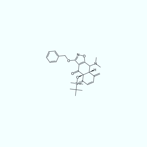 C=C1C=CC(=O)[C@]2(O[Si](C)(C)C(C)(C)C)C(=O)c3c(OCc4ccccc4)noc3C(N(C)C)[C@H]12